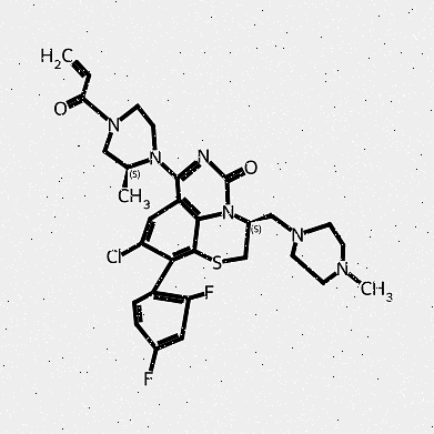 C=CC(=O)N1CCN(c2nc(=O)n3c4c(c(-c5ccc(F)cc5F)c(Cl)cc24)SC[C@@H]3CN2CCN(C)CC2)[C@@H](C)C1